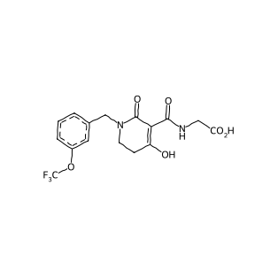 O=C(O)CNC(=O)C1=C(O)CCN(Cc2cccc(OC(F)(F)F)c2)C1=O